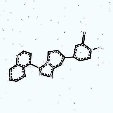 CCCCn1ccc(-c2ccn3c(-c4ccnc5ccccc45)nnc3c2)cc1=O